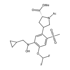 COC(=O)[C@H]1CC(c2cc(N(O)CC3CC3)c(OC(F)F)cc2S(C)(=O)=O)CN1C(C)=O